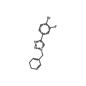 Fc1cc(-c2cn(CC3=CCCC=C3)nn2)ccc1Br